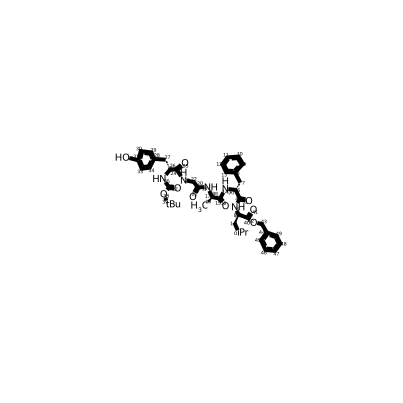 CC(C)C[C@@H](NC(=O)[C@@H](Cc1ccccc1)NC(=O)[C@@H](C)NC(=O)CNC(=O)[C@@H](Cc1ccc(O)cc1)NC(=O)OC(C)(C)C)C(=O)OCc1ccccc1